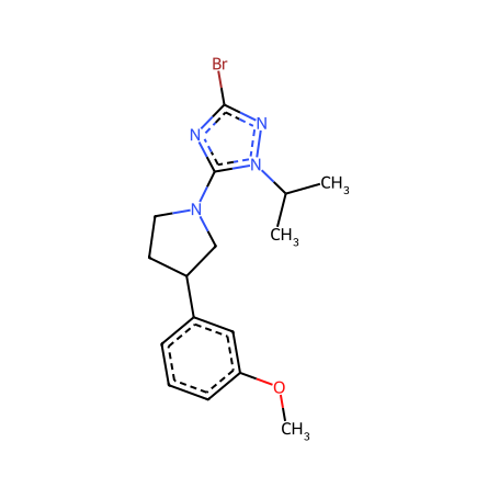 COc1cccc(C2CCN(c3nc(Br)nn3C(C)C)C2)c1